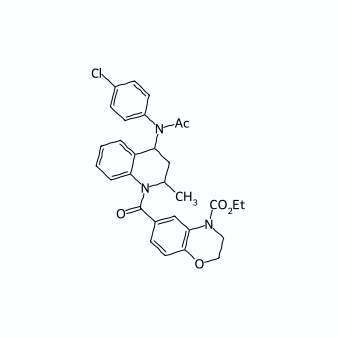 CCOC(=O)N1CCOc2ccc(C(=O)N3c4ccccc4C(N(C(C)=O)c4ccc(Cl)cc4)CC3C)cc21